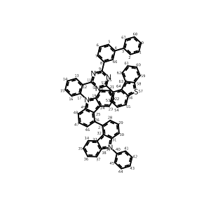 c1ccc(-c2cccc(-c3nc(-c4ccccc4-n4c5ccccc5c5c(-c6cccc7c6c6ccccc6n7-c6ccccc6)cccc54)nc(-c4cccc5sc6ccccc6c45)n3)c2)cc1